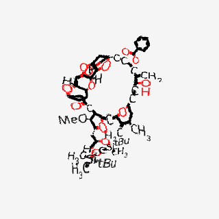 C=C1C[C@@H](OC(=O)c2ccccc2)CC[C@@]23CC4OC5C(O2)[C@H]2OC(CCC2O[C@H]5[C@H]4O3)CC(=O)CC2C(CC3OC(CCC1O)CC(C)C3=C)O[C@H](CC(CO[Si](C)(C)C(C)(C)C)O[Si](C)(C)C(C)(C)C)[C@@H]2OC